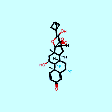 C[C@]12C=CC(=O)C=C1[C@@H](F)C[C@H]1[C@@H]3C[C@H]4O[C@@H](C56CC(C5)C6)O[C@@]4(C(=O)CO)[C@@]3(C)C[C@H](O)[C@@]12F